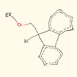 CCOCC1(C(C)=O)c2ccccc2-c2ccccc21